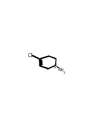 N[C@H]1CC=C(Cl)CC1